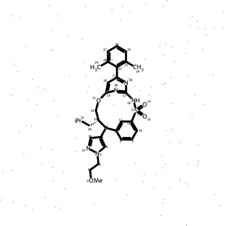 COCCn1cc(C2c3cccc(c3)S(=O)(=O)Nc3nc(cc(-c4c(C)cccc4C)n3)OC[C@H]2CC(C)C)cn1